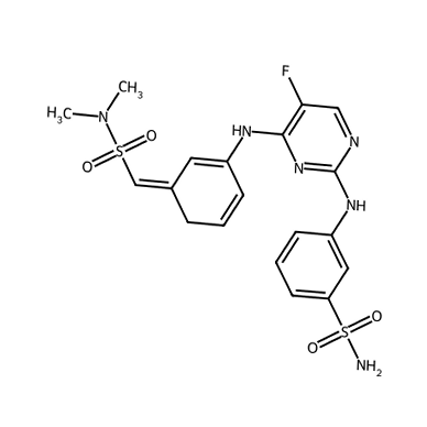 CN(C)S(=O)(=O)C=C1C=C(Nc2nc(Nc3cccc(S(N)(=O)=O)c3)ncc2F)C=CC1